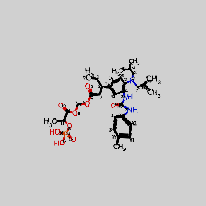 CCC(CC(=O)OCOC(=O)C(C)OP(=O)(O)O)c1ccc(N(CC(C)C)CC(C)C)c(NC(=O)Nc2ccc(C)cc2)c1